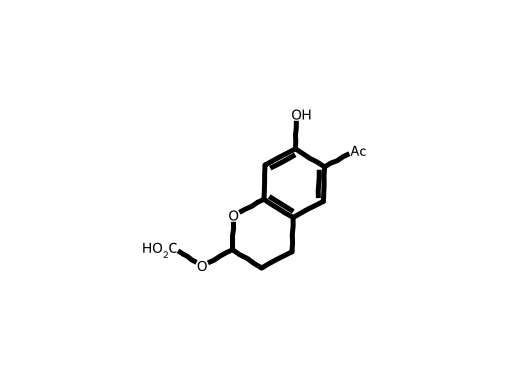 CC(=O)c1cc2c(cc1O)OC(OC(=O)O)CC2